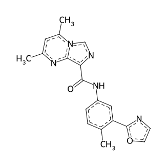 Cc1cc(C)n2cnc(C(=O)Nc3ccc(C)c(-c4ncco4)c3)c2n1